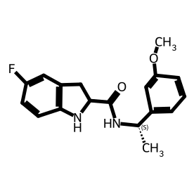 COc1cccc([C@H](C)NC(=O)C2Cc3cc(F)ccc3N2)c1